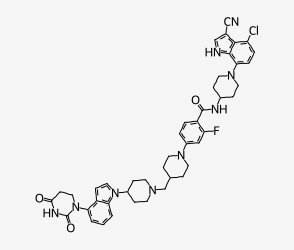 N#Cc1c[nH]c2c(N3CCC(NC(=O)c4ccc(N5CCC(CN6CCC(n7ccc8c(N9CCC(=O)NC9=O)cccc87)CC6)CC5)cc4F)CC3)ccc(Cl)c12